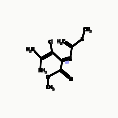 C=C(/N=C(/C(=O)OC)C(Cl)=C(N)N)SC